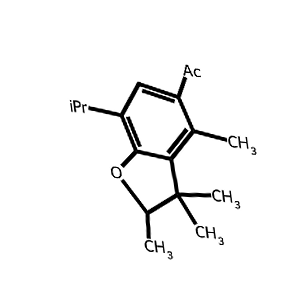 CC(=O)c1cc(C(C)C)c2c(c1C)C(C)(C)C(C)O2